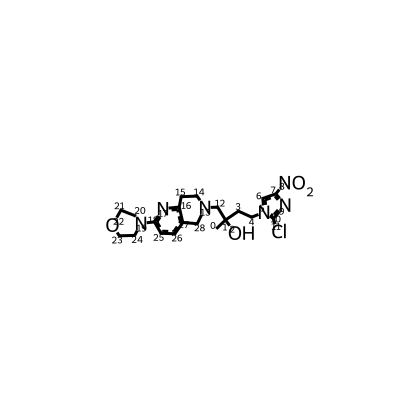 CC(O)(CCn1cc([N+](=O)[O-])nc1Cl)CN1CCc2nc(N3CCOCC3)ccc2C1